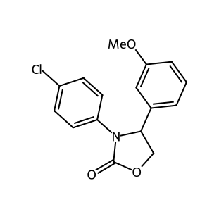 COc1cccc(C2COC(=O)N2c2ccc(Cl)cc2)c1